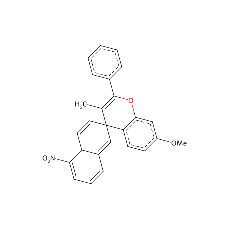 COc1ccc2c(c1)OC(c1ccccc1)=C(C)C21C=CC2C(=C1)C=CC=C2[N+](=O)[O-]